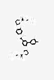 CC(C)(C)OC(=O)N1CC[C@H](Oc2ccc(NC(=O)c3ccc(O[C@H]4CCN(C(=O)OC(C)(C)C)C4)c(-c4ccc(F)c(F)c4)c3)cc2Br)C1